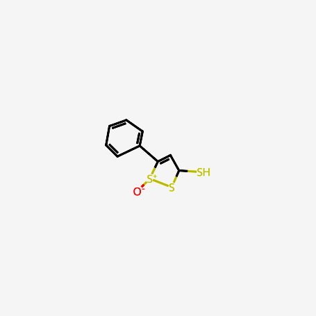 [O-][S+]1SC(S)C=C1c1ccccc1